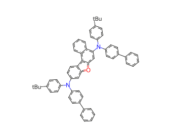 CC(C)(C)c1ccc(N(c2ccc(-c3ccccc3)cc2)c2ccc3c(c2)oc2cc(N(c4ccc(-c5ccccc5)cc4)c4ccc(C(C)(C)C)cc4)c4ccccc4c23)cc1